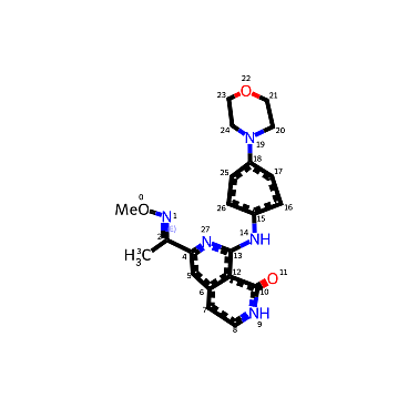 CO/N=C(\C)c1cc2cc[nH]c(=O)c2c(Nc2ccc(N3CCOCC3)cc2)n1